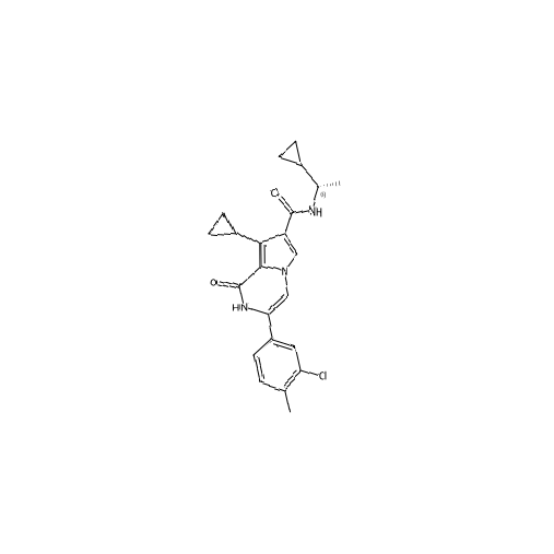 Cc1ccc(-c2cn3cc(C(=O)N[C@@H](C)C4CC4)c(C4CC4)c3c(=O)[nH]2)cc1Cl